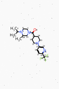 CC(C)N1CCN(C(=O)C2CCN(c3ccc(C(F)(F)F)nc3)CC2)CC1C